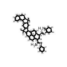 CC1(C)c2cc3c(cc2-c2c1ccc1ccccc21)C(C)(C)c1cc2ccc4c(/C(N)=N/c5ccccc5)cc(/C=N/c5ccccc5N)c5ccc(c1-3)c2c54